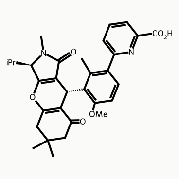 COc1ccc(-c2cccc(C(=O)O)n2)c(C)c1[C@@H]1C2=C(CC(C)(C)CC2=O)OC2=C1C(=O)N(C)[C@@H]2C(C)C